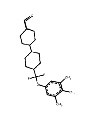 Cc1cc(OC(F)(F)C2CCC(C3CCC(C=O)CC3)CC2)cc(C)c1C